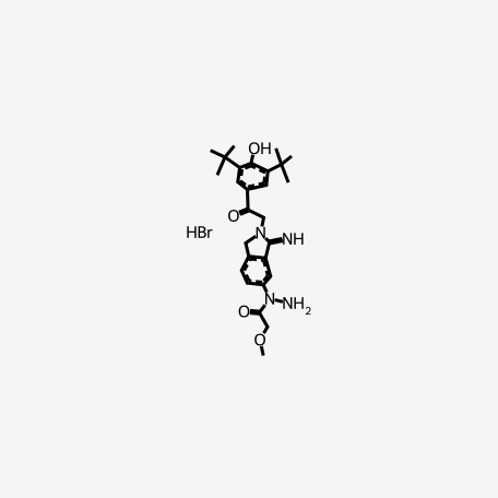 Br.COCC(=O)N(N)c1ccc2c(c1)C(=N)N(CC(=O)c1cc(C(C)(C)C)c(O)c(C(C)(C)C)c1)C2